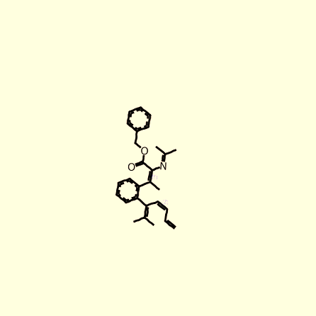 C=C/C=C\C(=C(C)C)c1ccccc1/C(C)=C(/N=C(C)C)C(=O)OCc1ccccc1